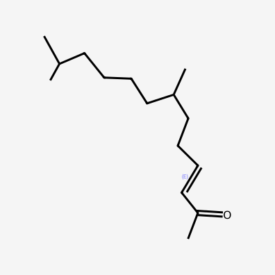 CC(=O)/C=C/CCC(C)CCCCC(C)C